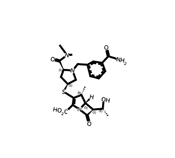 C[C@@H](O)[C@H]1C(=O)N2C(C(=O)O)=C(S[C@H]3C[C@@H](C(=O)N(C)C)N(Cc4cccc(C(N)=O)c4)C3)[C@H](C)[C@H]12